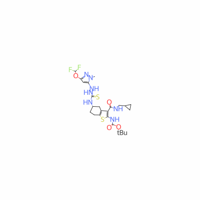 Cn1nc(OC(F)F)cc1NNC(=S)N[C@H]1CCc2sc(NC(=O)OC(C)(C)C)c(C(=O)NCC3CC3)c2C1